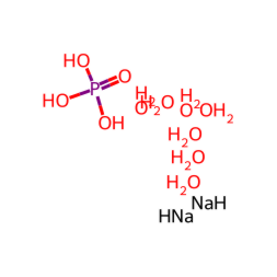 O.O.O.O.O.O.O.O=P(O)(O)O.[NaH].[NaH]